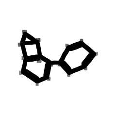 [c]1ccc(-c2ccccc2)c2c1C1CC21